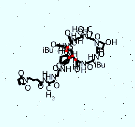 CCC(C)[C@@H]1NC(=O)[C@@H]2C[C@@H](O)CN2C(=O)[C@H](CC(=O)O)NC(=O)[C@@H]2CSc3[nH]c4ccc(NC(=O)CNC(=O)C(C)NC(=O)CCCN5C(=O)C=CC5=O)cc4c3C[C@H](NC1=O)C(=O)NCC(=O)NC[C@@H]([C@@H](C)CC)C(=O)NCC(=O)N2